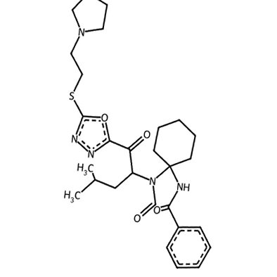 CC(C)CC(C(=O)c1nnc(SCCN2CCCC2)o1)N(C=O)C1(NC(=O)c2ccccc2)CCCCC1